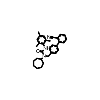 Cc1cc(C)c(NC(=O)N(Cc2ccc(-c3ccccc3C#N)cc2)C2CCCCCC2)c(C)c1